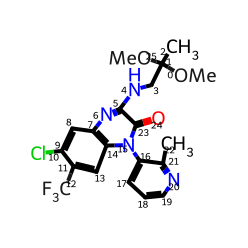 COC(C)(CNc1nc2cc(Cl)c(C(F)(F)F)cc2n(-c2cccnc2C)c1=O)OC